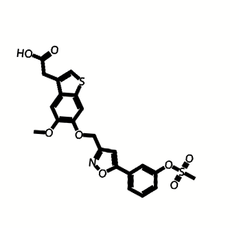 COc1cc2c(CC(=O)O)csc2cc1OCc1cc(-c2cccc(OS(C)(=O)=O)c2)on1